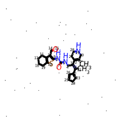 CC1=C(/C(CNC(=O)Nc2sc3c(c2C=O)CCCC3)=C(\C)C2=CCC=C2)CCNC1